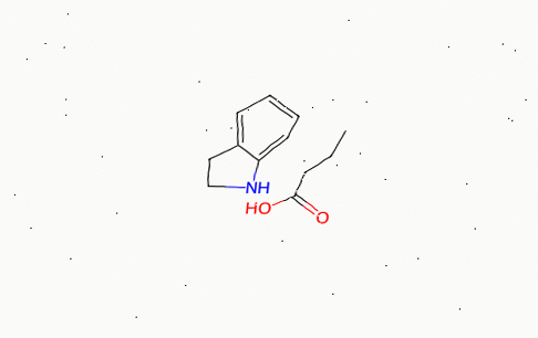 CCCC(=O)O.c1ccc2c(c1)CCN2